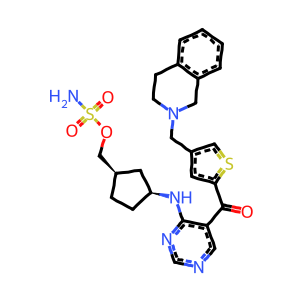 NS(=O)(=O)OC[C@@H]1CC[C@H](Nc2ncncc2C(=O)c2cc(CN3CCc4ccccc4C3)cs2)C1